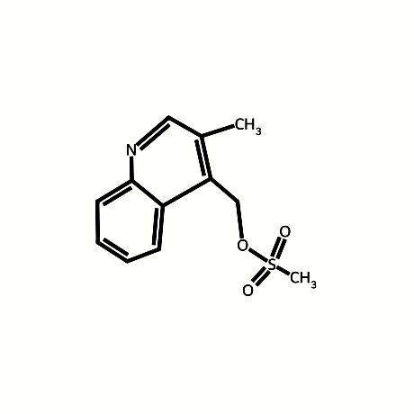 Cc1cnc2ccccc2c1COS(C)(=O)=O